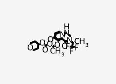 CC(OC(=O)OC1CCOCC1)Oc1c2n(ccc1=O)NCN([C@H](C)C(F)(F)F)C2=O